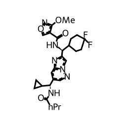 CCCC(=O)N[C@@H](c1cnn2cc([C@@H](NC(=O)c3conc3OC)C3CCC(F)(F)CC3)nc2c1)C1CC1